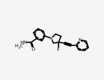 CNC(=O)c1cccc(N2CCC(F)(C#Cc3ccccn3)C2)c1